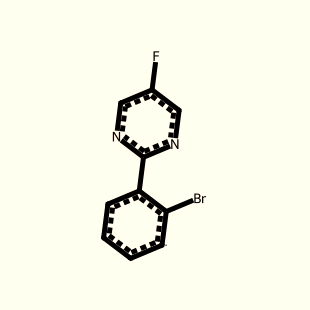 Fc1cnc(-c2ccc[c]c2Br)nc1